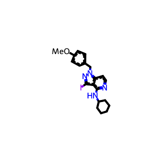 COc1ccc(Cn2nc(I)c3c(NC4CCCCC4)nccc32)cc1